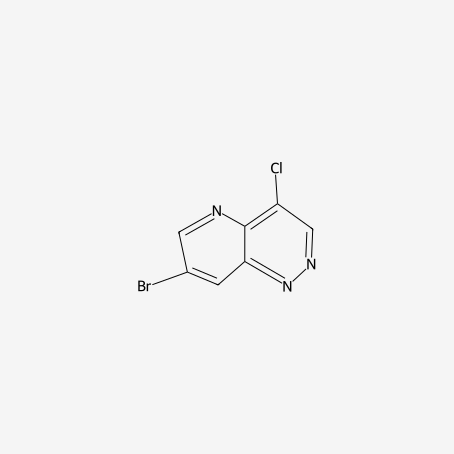 Clc1cnnc2cc(Br)cnc12